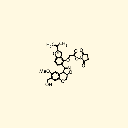 C=C(C)[C@H]1Cc2c(ccc(C3=NOC4COc5cc(CO)c(OC)cc5C34)c2OCC(=O)ON2C(=O)CCC2=O)O1